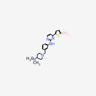 Bc1ccc(-c2ccnc(Nc3cccc(CN4CCC(N(C)C)CC4)c3)n2)s1